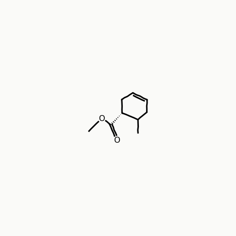 COC(=O)[C@@H]1CC=CCC1C